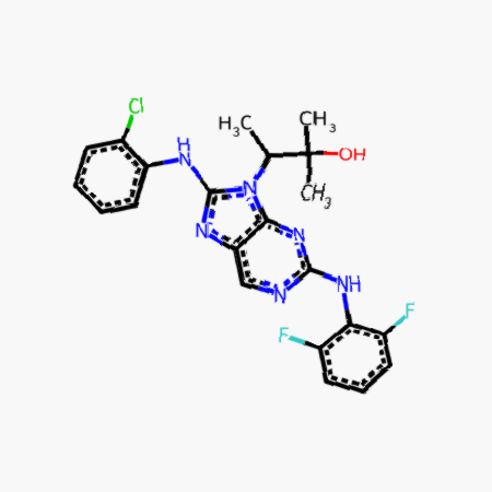 CC(n1c(Nc2ccccc2Cl)nc2cnc(Nc3c(F)cccc3F)nc21)C(C)(C)O